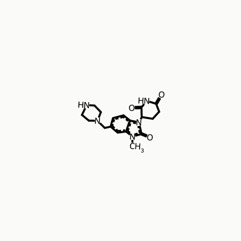 Cn1c(=O)n(C2CCC(=O)NC2=O)c2ccc(CN3CCNCC3)cc21